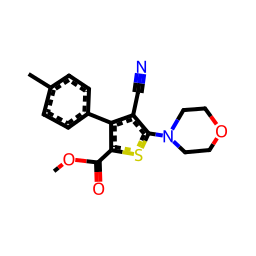 COC(=O)c1sc(N2CCOCC2)c(C#N)c1-c1ccc(C)cc1